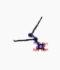 C#CC#CC#CC#CC#CC#CC#CC#CC#CC#CC#CN1/C(=C/C=C/C=C/C2=[N+](C#CC#CC#CC#CC#CC#CC#CC#CC#CC#CC#C)c3ccc(CNC(=O)CN4CCN(CC(=O)O)CCN(CC(=O)O)CCN(CC(=O)O)CC4)cc3C2(C)C)C(C)(C)c2ccccc21